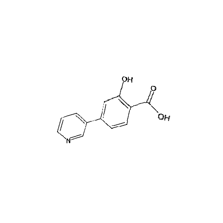 O=C(O)c1ccc(-c2cccnc2)cc1O